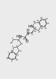 CCC(CC1Cc2ccccc2C1)NC(=O)NC[C@@H]1Cc2ccccc2CN1